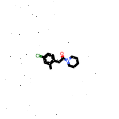 Cc1cc(Cl)ccc1CC(=O)N1CCCCC1